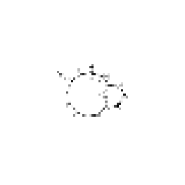 O=C1CCCCCc2cccc(c2)NNC1